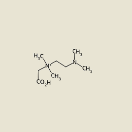 CN(C)CC[N+](C)(C)CC(=O)O